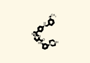 COc1cccc(CNc2ccc(-c3cnn4ccc(C(=O)Nc5cccc(N6CCNCC6)c5)nc34)cc2)c1